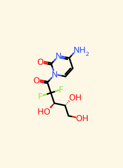 Nc1ccn(C(=O)C(F)(F)[C@H](O)[C@H](O)CO)c(=O)n1